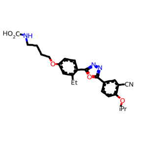 CCc1cc(OCCCCNC(=O)O)ccc1-c1nnc(-c2ccc(OC(C)C)c(C#N)c2)o1